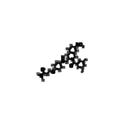 Cc1cc(C)cc(C(=O)N2Cc3cc([N+](=O)[O-])ccc3CC2CNc2ccc(OCCC(=O)N(C)C)cc2)c1